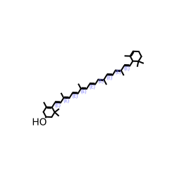 CC1=CCCC(C)(C)C1/C=C/C(C)=C/C=C/C(C)=C/C=C/C=C(C)/C=C/C=C(C)/C=C/C1=C(C)CC(O)CC1(C)C